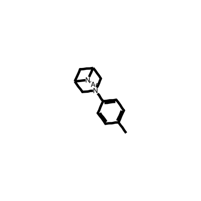 CC(=O)N1C2CC1CN(c1ccc(C)cc1)C2